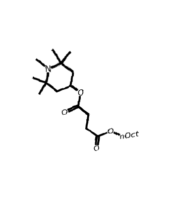 CCCCCCCCOC(=O)CCC(=O)OC1CC(C)(C)N(C)C(C)(C)C1